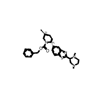 C[C@H]1CC[C@H](c2ccc3sc(C4CN(C)CCN4C)nc3c2)N(C(=O)OCc2ccccc2)C1